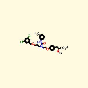 CCOC(Cc1ccc(OCCN(CCCOCc2cc(Cl)cc(Cl)c2)C(=O)Nc2cccc(C(F)(F)F)c2)cc1)C(=O)O